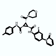 Cc1ccc(NC(=O)[C@@H]2[C@H](C(=O)Nc3ccc(-n4ccccc4=O)cc3F)[C@H]2C(=O)N2CCOCC2)cc1